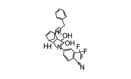 N#Cc1ccc(N2C[C@H]3[C@H]4C=C[C@H](C4)[C@@]3(COCc3ccccc3)S2(O)O)cc1C(F)(F)F